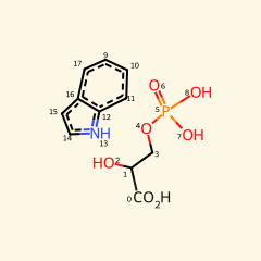 O=C(O)C(O)COP(=O)(O)O.c1ccc2[nH]ccc2c1